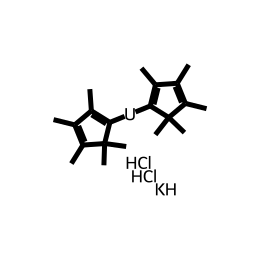 CC1=C(C)C(C)(C)[C]([U][C]2=C(C)C(C)=C(C)C2(C)C)=C1C.Cl.Cl.[KH]